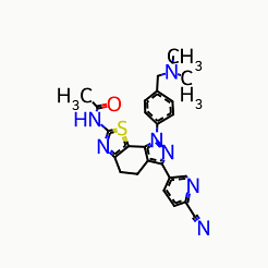 CC(=O)Nc1nc2c(s1)-c1c(c(-c3ccc(C#N)nc3)nn1-c1ccc(CN(C)C)cc1)CC2